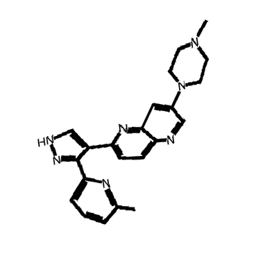 Cc1cccc(-c2n[nH]cc2-c2ccc3ncc(N4CCN(C)CC4)cc3n2)n1